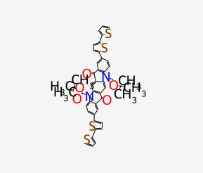 CC(C)(C)OCn1c2ccc(-c3ccc(-c4cccs4)s3)cc2c(=O)c2cc3c(cc21)c(=O)c1cc(-c2ccc(-c4cccs4)s2)ccc1n3C(=O)OC(C)(C)C